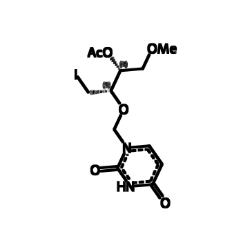 COC[C@@H](OC(C)=O)[C@@H](CI)OCn1ccc(=O)[nH]c1=O